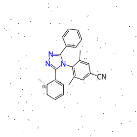 Cc1cc(C#N)cc(C)c1-n1c(C2=CC=CC[C@@H]2C)nnc1-c1ccccc1